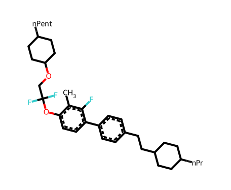 CCCCCC1CCC(OCC(F)(F)Oc2ccc(-c3ccc(CCC4CCC(CCC)CC4)cc3)c(F)c2C)CC1